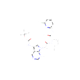 C[C@@H]1CC[C@@H](C(=O)Nc2cccc(Br)n2)N1C(=O)Cn1cc(NC(=O)OC(C)(C)C)c2cncnc21